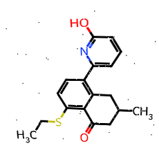 CCSc1ccc(-c2cccc(O)n2)c2c1C(=O)CC(C)C2